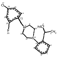 CC(O)c1ccccc1N1CCN(c2ccc(Cl)cc2F)CC1